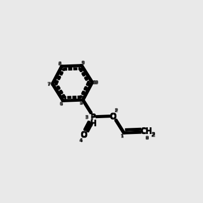 C=CO[PH](=O)c1ccccc1